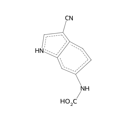 N#Cc1c[nH]c2cc(NC(=O)O)ccc12